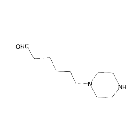 O=[C]CCCCCN1CCNCC1